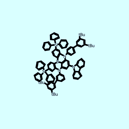 CC(C)(C)c1cc(-c2ccc(N3c4cc([Si](c5ccccc5)(c5ccccc5)c5ccccc5)ccc4B4c5ccc([Si](c6ccccc6)(c6ccccc6)c6ccccc6)cc5N(c5cccc(-c6cc(C(C)(C)C)cc(C(C)(C)C)c6)c5)c5cc(-n6c7ccccc7c7ccccc76)cc3c54)cc2)cc(C(C)(C)C)c1